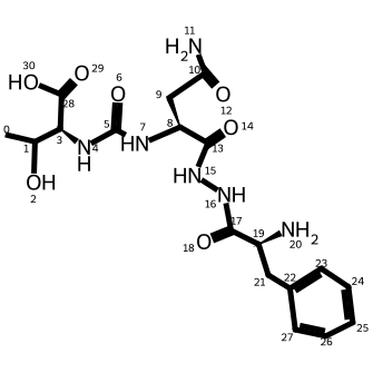 CC(O)[C@H](NC(=O)N[C@@H](CC(N)=O)C(=O)NNC(=O)[C@@H](N)Cc1ccccc1)C(=O)O